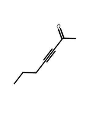 CCCC#CC(C)=O